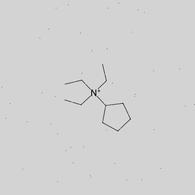 CC[N+](CC)(CC)C1CCCC1